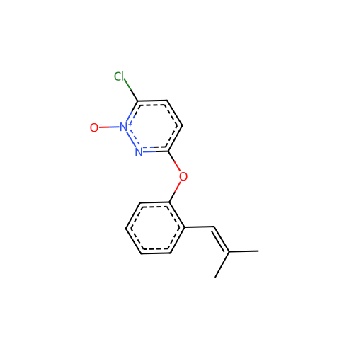 CC(C)=Cc1ccccc1Oc1ccc(Cl)[n+]([O-])n1